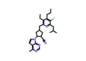 CCCc1c(F)c(CC(C)C)nc(CC2CC(C#N)C(n3ccc4c(C)ncnc43)C2)c1CC